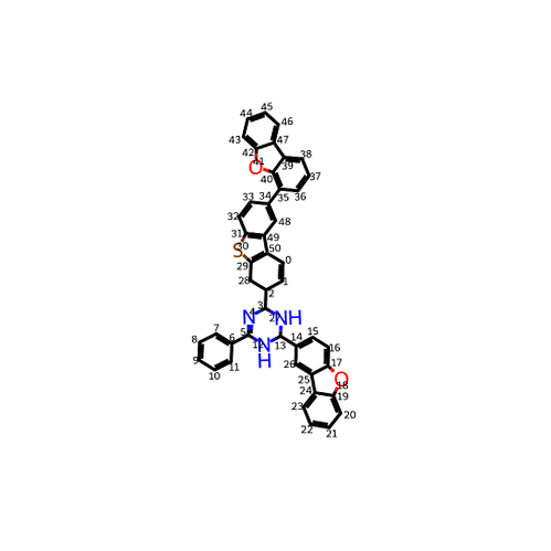 C1=CC(C2N=C(c3ccccc3)NC(c3ccc4oc5ccccc5c4c3)N2)Cc2sc3ccc(-c4cccc5c4oc4ccccc45)cc3c21